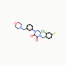 O=C1C(=O)N(c2cccc(CN3CCOCC3)c2)CCN1Cc1ccc(F)cc1Cl